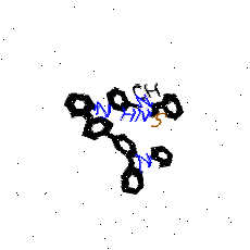 CN1c2c(sc3ccccc23)NC1c1cccc(-n2c3ccccc3c3ccc(-c4ccc5c(c4)c4ccccc4n5-c4ccccc4)cc32)c1